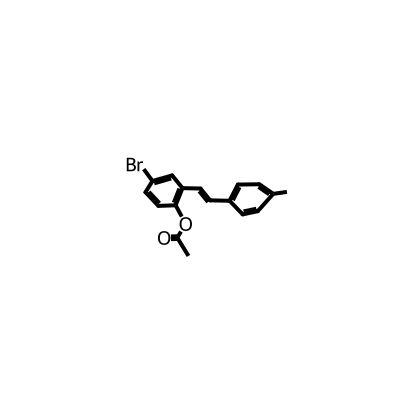 CC(=O)Oc1ccc(Br)cc1C=Cc1ccc(C)cc1